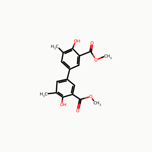 COC(=O)c1cc(-c2cc(C)c(O)c(C(=O)OC)c2)cc(C)c1O